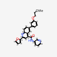 COCCOc1cccc(-c2ccc3nc(-c4ccco4)cc(C(=O)Nc4cccnc4)c3c2)c1